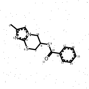 Cc1cn2c(n1)SCC(SC(=O)c1ccccc1)C2